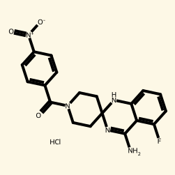 Cl.NC1=NC2(CCN(C(=O)c3ccc([N+](=O)[O-])cc3)CC2)Nc2cccc(F)c21